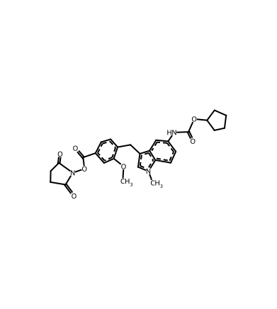 COc1cc(C(=O)ON2C(=O)CCC2=O)ccc1Cc1cn(C)c2ccc(NC(=O)OC3CCCC3)cc12